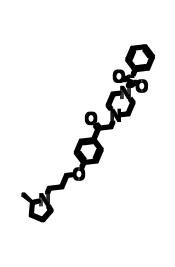 C[C@@H]1CCCN1CCCOc1ccc(C(=O)CN2CCN(S(=O)(=O)c3ccccc3)CC2)cc1